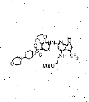 COCCNc1cc(Nc2ccc(S(=O)(=O)N3CCC(N4CCOCC4)CC3)c3c2OCCO3)nc2[nH]cc(C(F)(F)F)c12